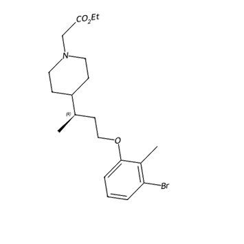 CCOC(=O)CN1CCC([C@H](C)CCOc2cccc(Br)c2C)CC1